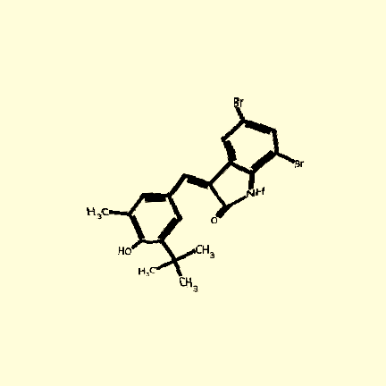 Cc1cc(C=C2C(=O)Nc3c(Br)cc(Br)cc32)cc(C(C)(C)C)c1O